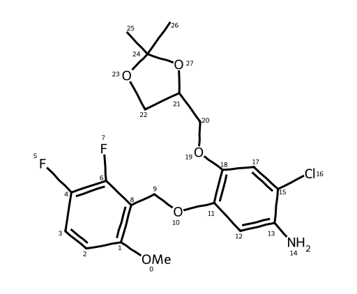 COc1ccc(F)c(F)c1COc1cc(N)c(Cl)cc1OCC1COC(C)(C)O1